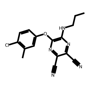 CCCNc1nc(C#N)c(C#N)nc1Oc1ccc(Cl)c(C)c1